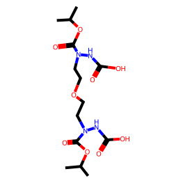 CC(C)OC(=O)N(CCOCCN(NC(=O)O)C(=O)OC(C)C)NC(=O)O